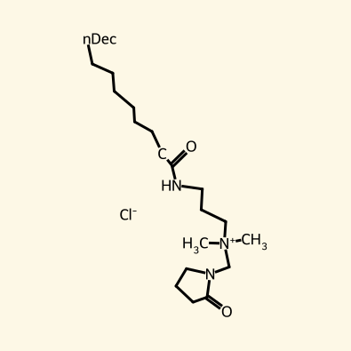 CCCCCCCCCCCCCCCCCC(=O)NCCC[N+](C)(C)CN1CCCC1=O.[Cl-]